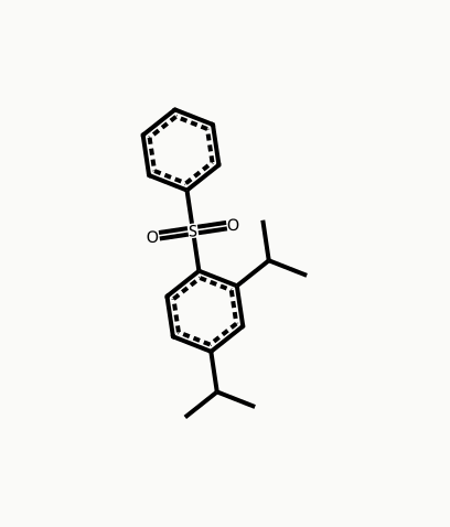 CC(C)c1ccc(S(=O)(=O)c2ccccc2)c(C(C)C)c1